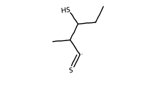 CCC(S)C(C)[C]=S